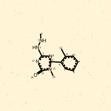 CNNc1nc(-c2ccccc2C)n(C)c(=O)n1